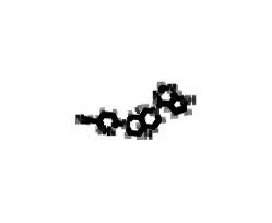 C[C@@]12CN(c3ccc(C#N)nn3)CC[C@@H]1CCN(c1ncnc3[nH]ccc13)C2